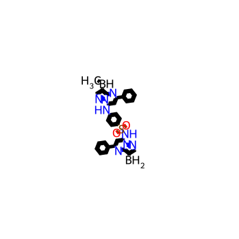 Bc1cnn2c(NS(=O)(=O)c3ccc(Nc4cc(-c5ccccc5)nc5c(BC)cnn45)cc3)cc(-c3ccccc3)nc12